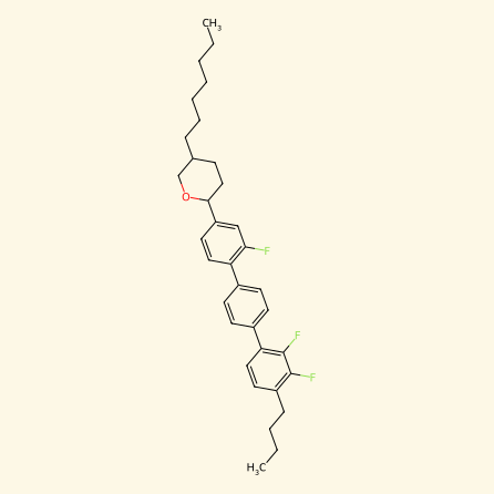 CCCCCCCC1CCC(c2ccc(-c3ccc(-c4ccc(CCCC)c(F)c4F)cc3)c(F)c2)OC1